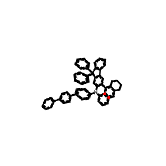 c1ccc(-c2ccc(-c3ccc(N(c4ccccc4)c4cc5c(cc4-c4cccc6c4CCCC6)-c4ccccc4C5(c4ccccc4)c4ccccc4)cc3)cc2)cc1